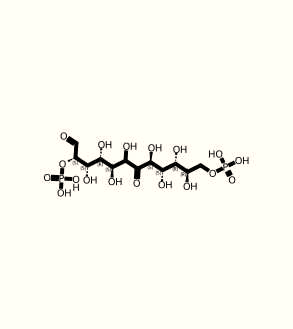 O=C[C@@H](OP(=O)(O)O)[C@@H](O)[C@H](O)[C@H](O)C(O)C(=O)[C@@H](O)[C@@H](O)[C@H](O)[C@H](O)COP(=O)(O)O